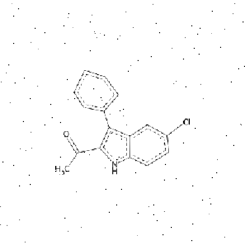 CC(=O)c1[nH]c2ccc(Cl)cc2c1-c1ccccc1